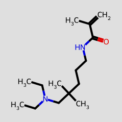 C=C(C)C(=O)NCCCC(C)(C)CN(CC)CC